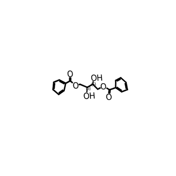 O=C(OC[C@H](O)[C@@H](O)COC(=O)c1ccccc1)c1ccccc1